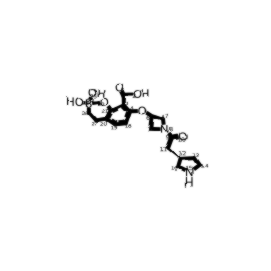 O=C(O)c1c(OC2CN(C(=O)C[C@H]3CCNC3)C2)ccc2c1O[B-](O)(O)CC2